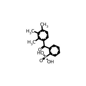 Cc1ccc(C(=O)c2ccccc2P(=O)(O)O)c(C)c1C